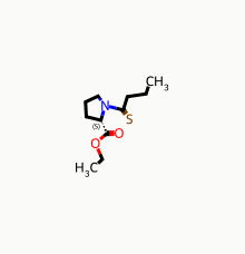 CCCC(=S)N1CCC[C@H]1C(=O)OCC